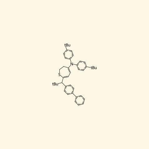 CC(C)(C)c1ccc(N(C2=CC=C(C(c3ccc(-c4ccccc4)cc3)C(C)(C)C)SCC2)c2ccc(C(C)(C)C)cc2)cc1